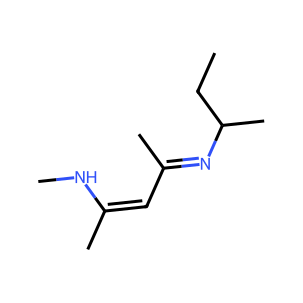 CCC(C)/N=C(C)/C=C(/C)NC